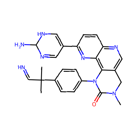 CN1Cc2cnc3ccc(C4=CNC(N)N=C4)nc3c2N(c2ccc(C(C)(C)C=N)cc2)C1=O